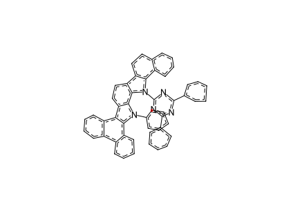 c1ccc(-c2nc(-c3ccccc3)nc(-n3c4c5ccccc5ccc4c4ccc5c6c7ccccc7c7ccccc7c6n(-c6ccccc6)c5c43)n2)cc1